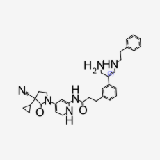 N#CC1(C2CC2)CCN(C2=CCNC(NC(=O)CCc3cccc(/C(=C/NCCc4ccccc4)CN)c3)=C2)C1=O